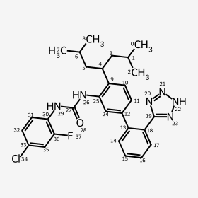 CC(C)CC(CC(C)C)c1ccc(-c2ccccc2-c2nn[nH]n2)cc1NC(=O)Nc1ccc(Cl)cc1F